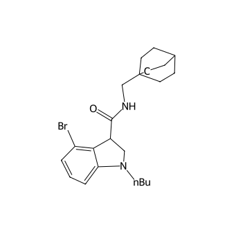 CCCCN1CC(C(=O)NCC23CCC(CC2)CC3)c2c(Br)cccc21